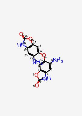 Nc1cc2[nH]c(=O)oc2cc1Oc1cc2oc(=O)[nH]c2cc1N